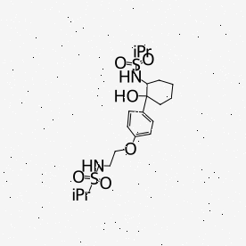 CC(C)S(=O)(=O)NCCOc1ccc(C2(O)CCCCC2NS(=O)(=O)C(C)C)cc1